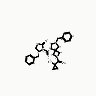 O=C1OC[C@H](Cc2ccccc2)N1C(=O)[C@@H]1CN(Cc2ccccc2)CC12CN(C(=O)C1(C(F)(F)F)CC1)C2